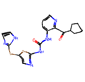 O=C(Nc1ncc(Sc2ncc[nH]2)s1)Nc1cccnc1C(=O)C1CCCC1